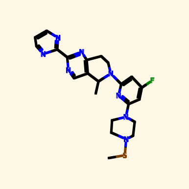 CSN1CCN(c2cc(F)cc(N3CCc4nc(-c5ncccn5)ncc4C3C)n2)CC1